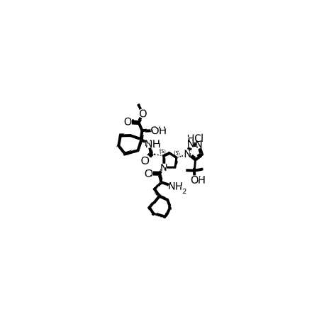 COC(=O)C(O)C1(NC(=O)[C@@H]2C[C@H](n3nncc3C(C)(C)O)CN2C(=O)C(N)CC2CCCCC2)CCCCC1.Cl